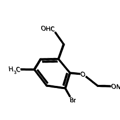 COCOc1c(Br)cc(C)cc1CC=O